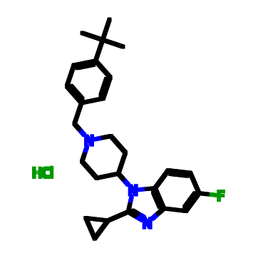 CC(C)(C)c1ccc(CN2CCC(n3c(C4CC4)nc4cc(F)ccc43)CC2)cc1.Cl